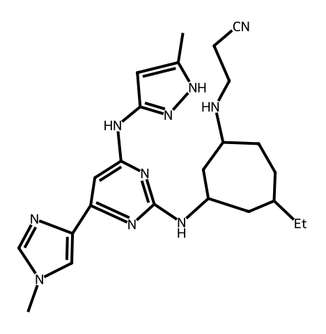 CCC1CCC(NCCC#N)CC(Nc2nc(Nc3cc(C)[nH]n3)cc(-c3cn(C)cn3)n2)C1